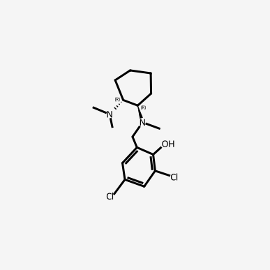 CN(C)[C@@H]1CCCC[C@H]1N(C)Cc1cc(Cl)cc(Cl)c1O